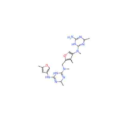 Cc1cc(NC2=NC(C)N=C(N(C)Cc3occ(N(C)C4=NC(C)N=C(N)N4)c3C)N2)co1